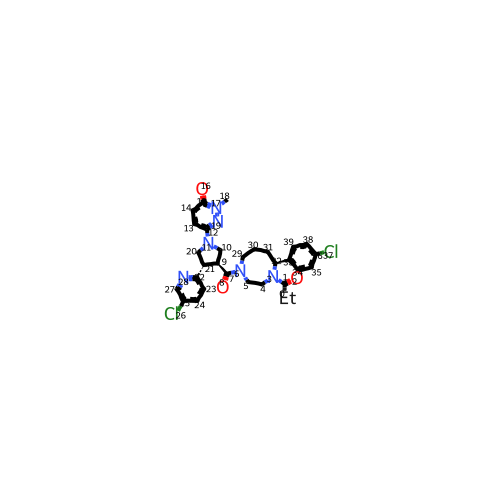 CCC(=O)N1CCN(C(=O)[C@@H]2CN(c3ccc(=O)n(C)n3)C[C@H]2c2ccc(Cl)cn2)CCC[C@H]1c1ccc(Cl)cc1